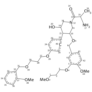 COCCCOc1cc(COC2CN(C(=O)C(C)N)CC(O)C2c2ccc(OCCCOCc3ccccc3OC)cc2)ccc1OC